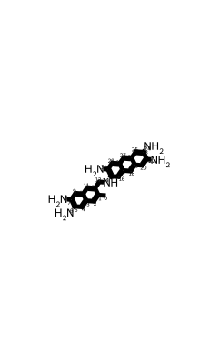 Cc1cc2cc(N)c(N)cc2cc1CNc1cc2cc3cc(N)c(N)cc3cc2cc1N